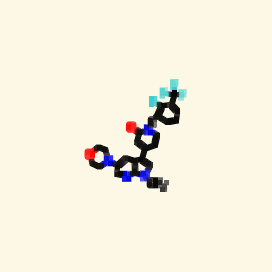 [CH2]n1cc(-c2ccn(Cc3cccc(C(F)(F)F)c3F)c(=O)c2)c2cc(N3CCOCC3)cnc21